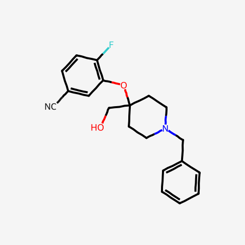 N#Cc1ccc(F)c(OC2(CO)CCN(Cc3ccccc3)CC2)c1